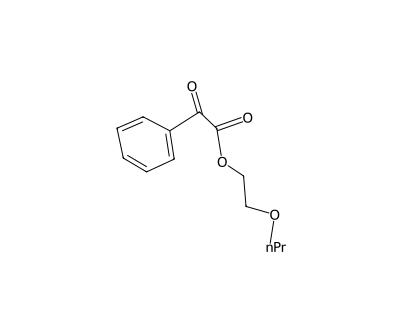 CCCOCCOC(=O)C(=O)c1ccccc1